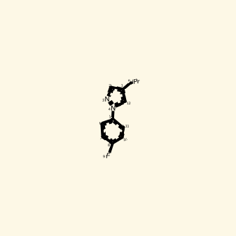 CC(C)c1cnn(-c2ccc(F)cc2)c1